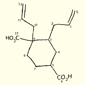 C=CCC1CC(C(=O)O)CCC1(CC=C)C(=O)O